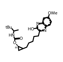 COc1ccc2nc(CCCCCC3C[C@H]3OC(=O)NC(C)C(C)(C)C)c(O)nc2c1